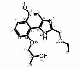 CCOCc1nc2c[n+]([O-])c3cccc(OCC(C)O)c3c2[nH]1